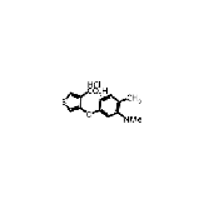 CNc1cc(Oc2cscc2C(=O)O)ccc1C.Cl